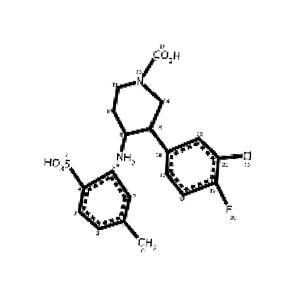 Cc1ccc(S(=O)(=O)O)cc1.NC1CCN(C(=O)O)CC1c1ccc(F)c(Cl)c1